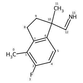 Cc1c(F)ccc2c1CCC2(C)C=N